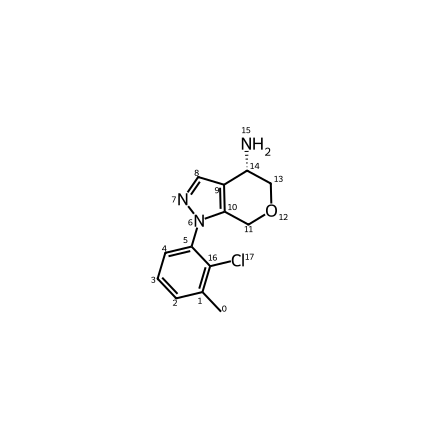 Cc1cccc(-n2ncc3c2COC[C@H]3N)c1Cl